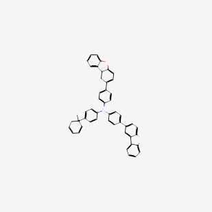 CC1(c2ccc(N(c3ccc(C4=CC=C5Oc6ccccc6C5C4)cc3)c3ccc(-c4ccc5sc6ccccc6c5c4)cc3)cc2)C=CC=CC1